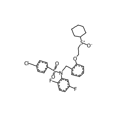 O=S(=O)(c1ccc(Cl)cc1)N(Cc1ccccc1OCC[S+]([O-])C1CCCCC1)c1cc(F)ccc1F